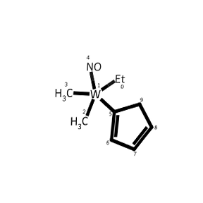 C[CH2][W]([CH3])([CH3])([N]=O)[C]1=CC=CC1